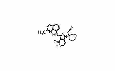 Cc1ccc2cccc(Nc3nn(C4(CC#N)CCCOC4)c4cc[nH]c(=O)c34)c2n1